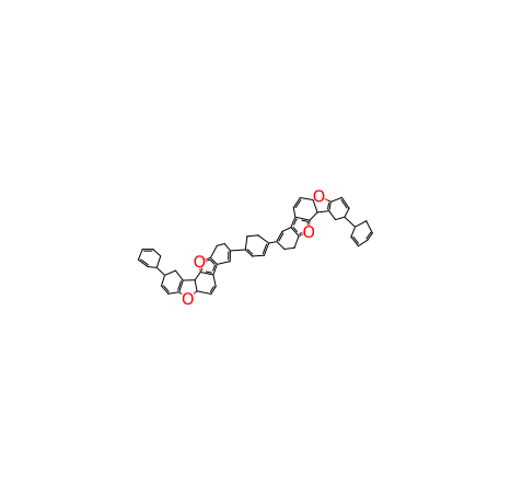 C1=CCC(C2C=CC3=C(C2)C2c4oc5c(c4C=CC2O3)C=C(C2=CC=C(C3=Cc4c(oc6c4C=CC4OC7=C(CC(C8C=CC=CC8)C=C7)C64)CC3)CC2)CC5)C=C1